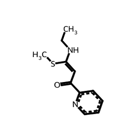 CCNC(=CC(=O)c1ccccn1)SC